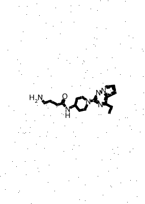 CCc1nc(N2CCC(NC(=O)CCCN)CC2)nn2cccc12